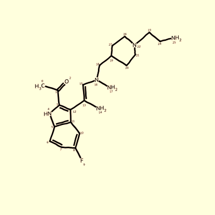 CC(=O)c1[nH]c2ccc(F)cc2c1/C(N)=C/N(N)CC1CCN(CCN)CC1